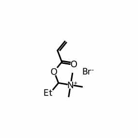 C=CC(=O)OC(CC)[N+](C)(C)C.[Br-]